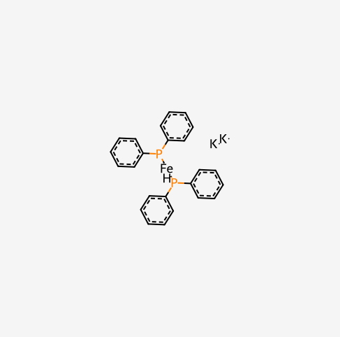 [K].[K].c1ccc([P]([FeH][P](c2ccccc2)c2ccccc2)c2ccccc2)cc1